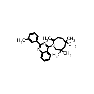 C=C1CCC(C)(C)CC(C)(C)CN1c1nc(-c2cccc(C)c2)nc2ccccc12